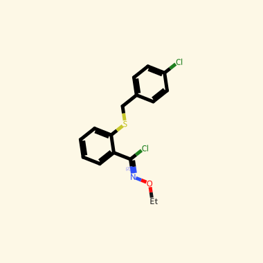 CCO/N=C(\Cl)c1ccccc1SCc1ccc(Cl)cc1